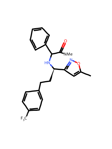 CNC(=O)C(N[C@H](CCc1ccc(C(F)(F)F)cc1)c1cc(C)on1)c1ccccc1